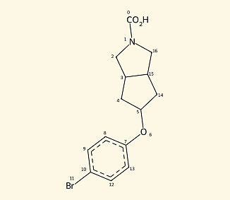 O=C(O)N1CC2CC(Oc3ccc(Br)cc3)CC2C1